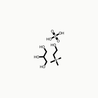 C[N+](C)(C)CCO.O=S(=O)(O)O.OCC(O)CO